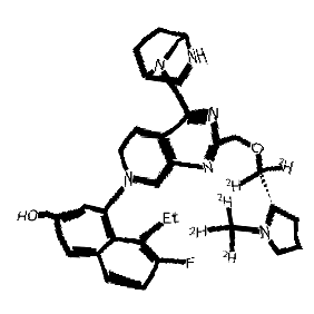 [2H]C([2H])(Oc1nc2c(c(N3CC4CCC3CN4)n1)CCN(c1cc(O)cc3ccc(F)c(CC)c13)C2)[C@@H]1CCCN1C([2H])([2H])[2H]